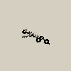 CCCN(CC(O)(CNc1cccc2c1cnn2-c1ccc(F)cc1)C(F)(F)F)C(=O)c1cccs1